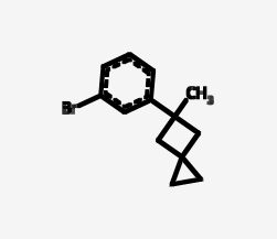 CC1(c2cccc(Br)c2)CC2(CC2)C1